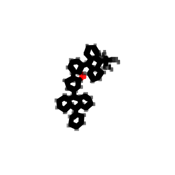 CC(C)(C)C1=c2ccccc2=C(c2cccc3c2oc2cc(-c4c5ccccc5c(-c5ccccc5)c5ccccc45)ccc23)C2C=CC=CC12